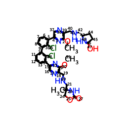 COc1nc(-c2cccc(-c3cccc(-c4cnc(CNCC5(C)COC(=O)N5)c(OC)n4)c3Cl)c2Cl)cnc1CNC[C@@H]1CCC(O)N1